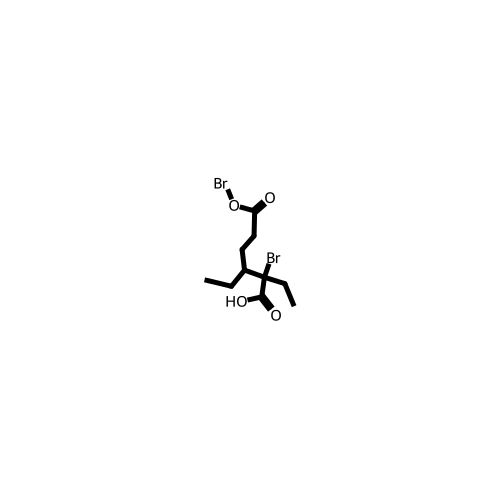 CCC(CCC(=O)OBr)C(Br)(CC)C(=O)O